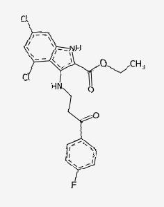 CCOC(=O)c1[nH]c2cc(Cl)cc(Cl)c2c1NCCC(=O)c1ccc(F)cc1